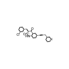 O=C1/C(=C/c2cccc(Cl)c2)[S+]([O-])Nc2ccc(C#CCc3cccnc3)cc21